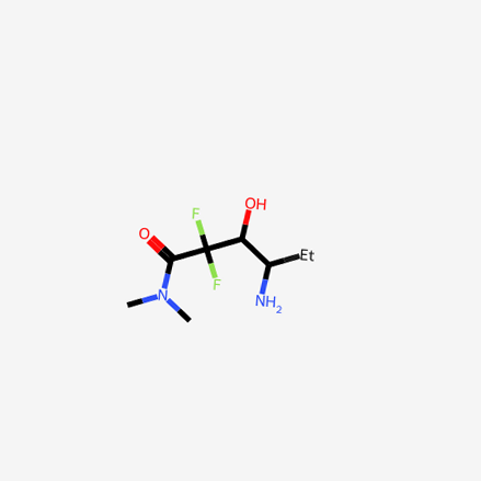 CCC(N)C(O)C(F)(F)C(=O)N(C)C